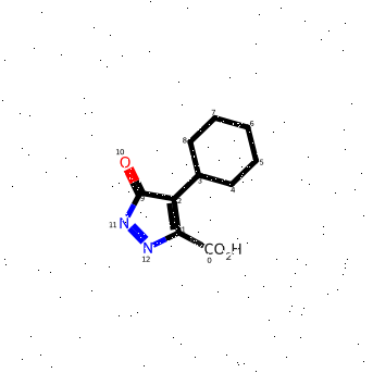 O=C(O)C1=C(C2CCCCC2)C(=O)N=N1